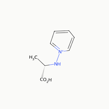 C[C@H](N[n+]1ccccc1)C(=O)O